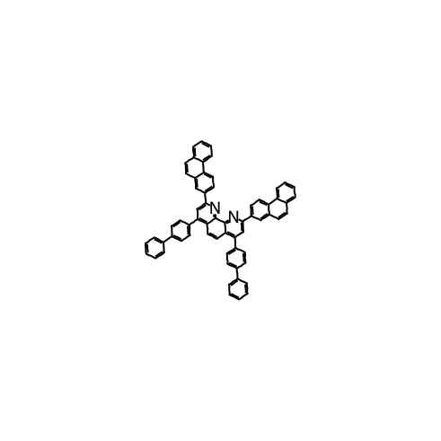 c1ccc(-c2ccc(-c3cc(-c4ccc5c(ccc6ccccc65)c4)nc4c3ccc3c(-c5ccc(-c6ccccc6)cc5)cc(-c5ccc6c(ccc7ccccc76)c5)nc34)cc2)cc1